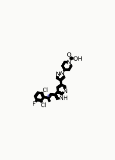 C/C(=C\c1c[nH]c2ncc(-c3cnn(C4CCN(C(=O)O)CC4)c3)cc12)c1c(Cl)ccc(F)c1Cl